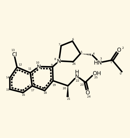 CC(=O)NC[C@H]1CCN(c2nc3c(Cl)cccc3cc2[C@H](C)NC(=O)O)C1